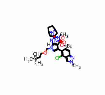 CN(C(=O)OC(C)(C)C)C1CC2CCC(C1)N2c1nc2c(c(-c3ccc4nn(C)cc4c3Cl)cn2COCC[Si](C)(C)C)c(=O)n1C